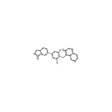 O=c1cnc2ccncc2n1Cc1c(F)cc(-c2ccc3cn[nH]c3c2)cc1F